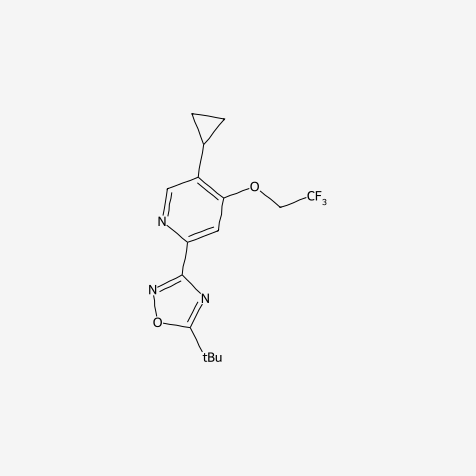 CC(C)(C)c1nc(-c2cc(OCC(F)(F)F)c(C3CC3)cn2)no1